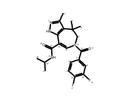 Cc1n[nH]c2c1C(C)(C)CN(C(=O)c1ccc(F)c(F)c1)C=C2C(=O)NC(C)C